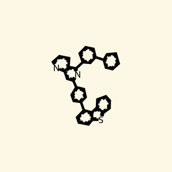 c1ccc(-c2cccc(-c3nc(-c4ccc(-c5cccc6sc7ccccc7c56)cc4)cc4ncccc34)c2)cc1